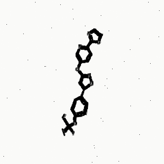 FC(F)(F)Oc1ccc([C@H]2CC(Oc3ccc(-c4ncco4)nc3)=NO2)cc1